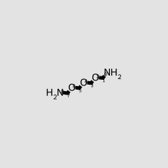 NCOCOCOCN